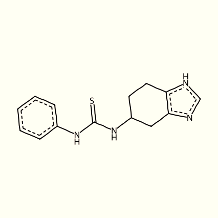 S=C(Nc1ccccc1)NC1CCc2[nH]cnc2C1